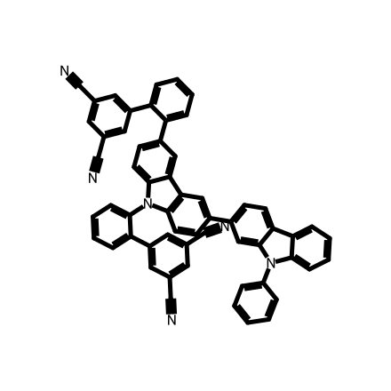 N#Cc1cc(C#N)cc(-c2ccccc2-c2ccc3c(c2)c2cc(-c4ccc5c6ccccc6n(-c6ccccc6)c5c4)ccc2n3-c2ccccc2-c2cc(C#N)cc(C#N)c2)c1